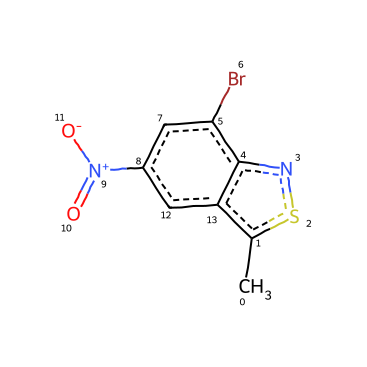 Cc1snc2c(Br)cc([N+](=O)[O-])cc12